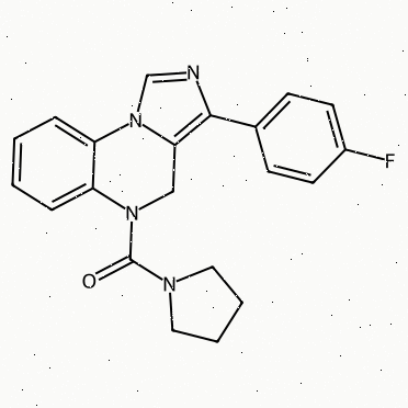 O=C(N1CCCC1)N1Cc2c(-c3ccc(F)cc3)ncn2-c2ccccc21